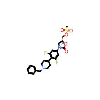 CS(=O)(=O)OC[C@H]1CN(c2cc(F)c(C3=CCN(Cc4ccccc4)CC3)c(F)c2)C(=O)O1